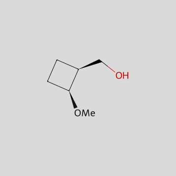 CO[C@H]1CC[C@H]1CO